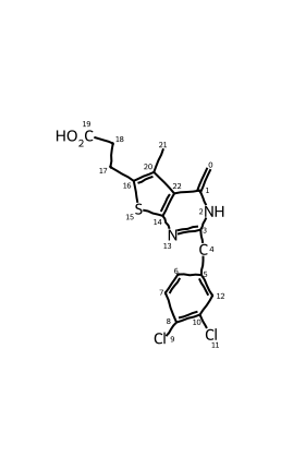 C=C1NC(Cc2ccc(Cl)c(Cl)c2)=Nc2sc(CCC(=O)O)c(C)c21